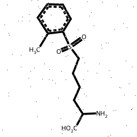 Cc1ccccc1S(=O)(=O)CCCCC(N)C(=O)O